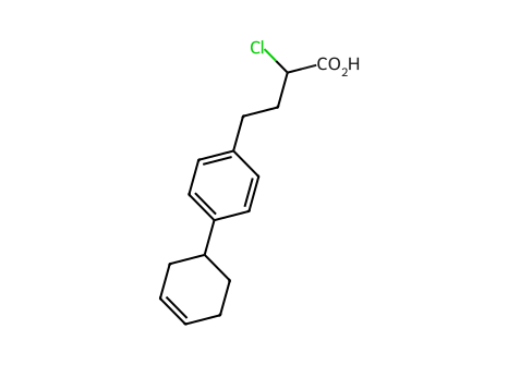 O=C(O)C(Cl)CCc1ccc(C2CC=CCC2)cc1